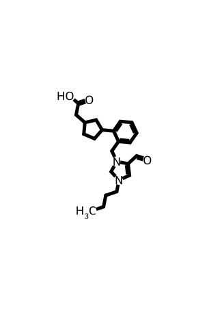 CCCCN1C=C(C=O)N(Cc2ccccc2C2CCC(CC(=O)O)C2)C1